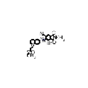 COC(=O)CCN1CCCc2cc(/N=N/c3c(C#N)cc4c(c3Br)C(=O)N(C)C4=O)ccc21